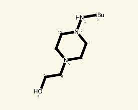 CCC(C)NN1CCN(CCO)CC1